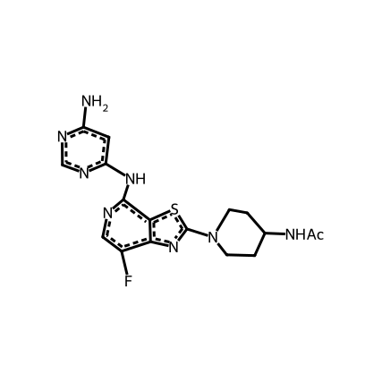 CC(=O)NC1CCN(c2nc3c(F)cnc(Nc4cc(N)ncn4)c3s2)CC1